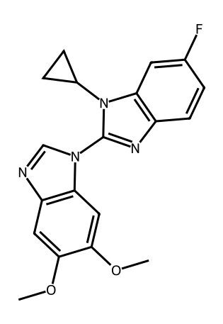 COc1cc2ncn(-c3nc4ccc(F)cc4n3C3CC3)c2cc1OC